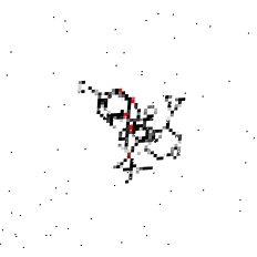 CN(C)CC(=O)N1CC2CCC(C1)N2C(=O)OC1([C@H]2COCC(C3CC3)N2S(=O)(=O)c2ccc(Cl)cc2)CC1